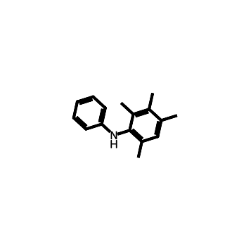 Cc1cc(C)c(Nc2ccccc2)c(C)c1C